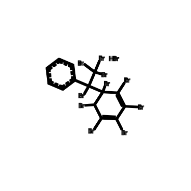 Br.BrC1=C(Br)C(Br)C(Br)(C(Br)(c2ccccc2)C(Br)(Br)Br)C(Br)=C1Br